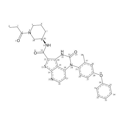 CCC(=O)N1CCC[C@@H](NC(=O)c2sc3nccc4c3c2NC(=O)N4c2ccc(Oc3ccccc3)cc2C)C1